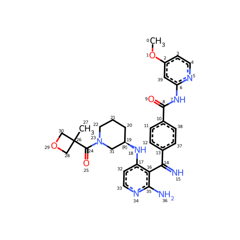 COc1ccnc(NC(=O)c2ccc(C(=N)c3c(N[C@@H]4CCCN(C(=O)C5(C)COC5)C4)ccnc3N)cc2)c1